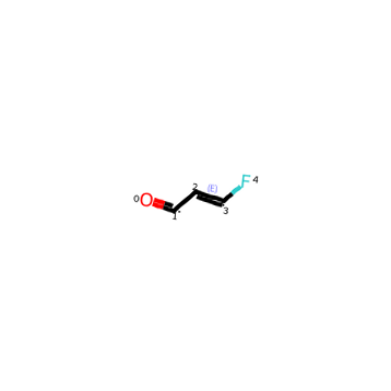 O=[C]/C=[C]/F